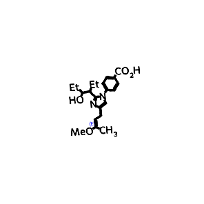 CCC(O)C(CC)c1nc(C/C=C(\C)OC)cn1-c1ccc(C(=O)O)cc1